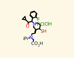 CC(C)N(C/C=C1\CN(C(C(=O)C2CC2)c2ccccc2F)CCC1S)CC(=O)O.Cl.Cl